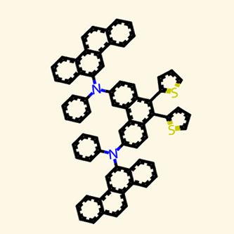 c1ccc(N(c2ccc3c(-c4cccs4)c(-c4cccs4)c4ccc(N(c5ccccc5)c5cc6c7ccccc7ccc6c6ccccc56)cc4c3c2)c2cc3c4ccccc4ccc3c3ccccc23)cc1